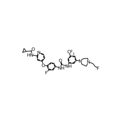 O=C(Nc1cc(N2CCN(CCF)CC2)cc(C(F)(F)F)c1)Nc1ccc(Oc2ccnc(NC(=O)C3CC3)c2)c(F)c1